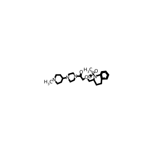 CN1CCC(N2CCN(C(=O)COCC3CCc4ccccc4N3S(C)(=O)=O)CC2)CC1